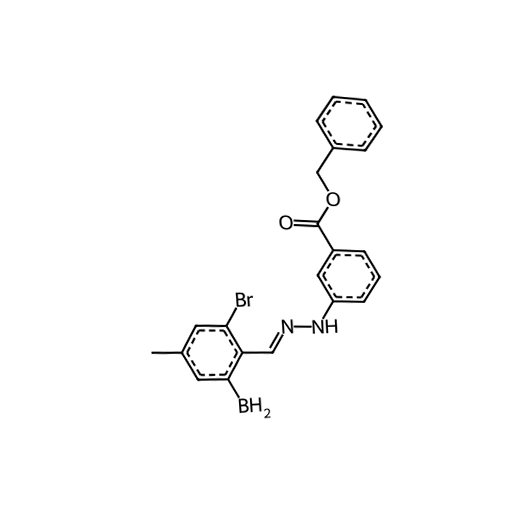 Bc1cc(C)cc(Br)c1/C=N/Nc1cccc(C(=O)OCc2ccccc2)c1